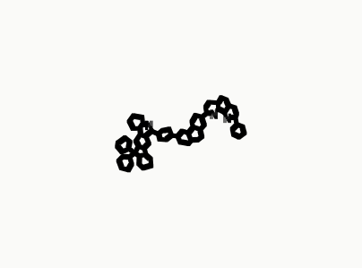 c1ccc(-c2ccc3ccc4ccc(-c5ccc6c(ccc7ccc(-c8ccc(-c9nc%10ccccc%10c%10cc%11c(cc9%10)-c9ccccc9C%11(c9ccccc9)c9ccccc9)cc8)cc76)c5)nc4c3n2)cc1